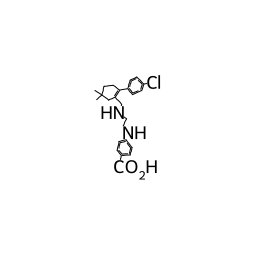 CC1(C)CCC(c2ccc(Cl)cc2)=C(CNCCNc2ccc(C(=O)O)cc2)C1